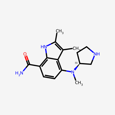 Cc1[nH]c2c(C(N)=O)ccc(N(C)[C@H]3CCNC3)c2c1C